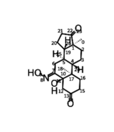 C[C@]12CC[C@H]3[C@@H](C/C(=N\O)[C@@]4(O)CC(=O)CC[C@]34C)[C@@H]1CCC2=O